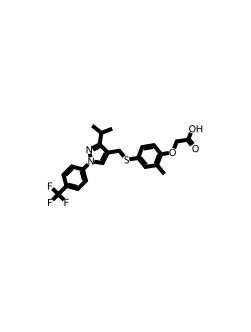 Cc1cc(SCc2cn(-c3ccc(C(F)(F)F)cc3)nc2C(C)C)ccc1OCC(=O)O